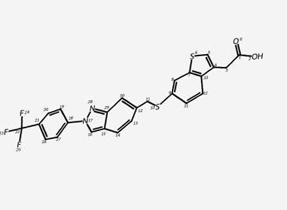 O=C(O)Cc1csc2cc(SCc3ccc4cn(-c5ccc(C(F)(F)F)cc5)nc4c3)ccc12